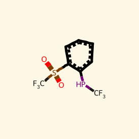 O=S(=O)(c1ccccc1PC(F)(F)F)C(F)(F)F